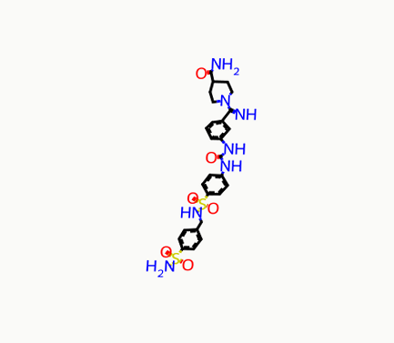 N=C(c1cccc(NC(=O)Nc2ccc(S(=O)(=O)NCc3ccc(S(N)(=O)=O)cc3)cc2)c1)N1CCC(C(N)=O)CC1